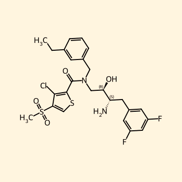 CCc1cccc(CN(C[C@@H](O)[C@@H](N)Cc2cc(F)cc(F)c2)C(=O)c2scc(S(C)(=O)=O)c2Cl)c1